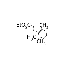 CCOC(=O)/C=C/C1=C(C)CCCC1(C)C